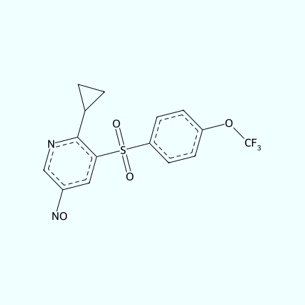 O=Nc1cnc(C2CC2)c(S(=O)(=O)c2ccc(OC(F)(F)F)cc2)c1